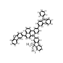 CC1(C)c2ccccc2-c2ccc(N(c3ccc(-c4ccc5c(c4)c4ccccc4n5-c4ccccc4)cc3)c3ccc(-c4ccc5oc6ccccc6c5c4)c4ccccc34)cc21